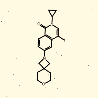 O=c1c2ccc(N3CC4(CCOCC4)C3)cc2c(I)cn1C1CC1